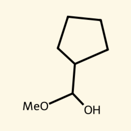 COC(O)C1CCCC1